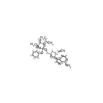 C#C[C@H]1CC(COP(=S)(N[C@@H](C)C(=O)OC(C)C)Oc2ccccc2)O[C@H]1n1cnc2c(N)ncnc21